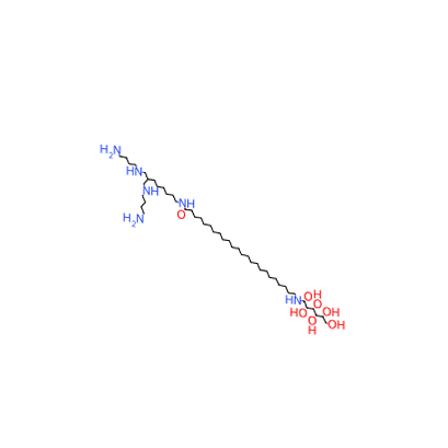 NCCCCNCC(CCCCCCNC(=O)CCCCCCCCCCCCCCCCCCCCCCCNC(=O)[C@H](O)[C@H](O)[C@H](O)[C@H](O)CO)CNCCCCN